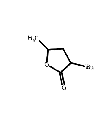 CCC(C)C1CC(C)OC1=O